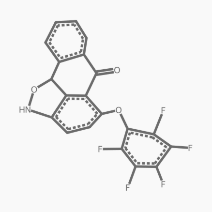 O=C1c2ccccc2C2ONc3ccc(Oc4c(F)c(F)c(F)c(F)c4F)c1c32